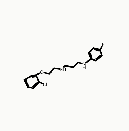 Fc1ccc(NCCCNCCOc2ccccc2Cl)cc1